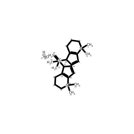 C[Si]1(C)CCCC2=C1C=C[CH]2[Zr]([CH3])([CH3])(=[SiH2])[CH]1C=CC2=C1CCC[Si]2(C)C.Cl.Cl